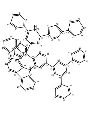 c1ccc(C2=NC(Cn3c4ccccc4c4ccc5c6ccccc6n(-c6cc(-c7cc(-c8ccccc8)cc(-c8ccccc8)c7)ccc6-c6ccccc6)c5c43)=NC(c3ccc(-c4ccccc4)cc3)N2)cc1